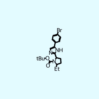 CCC1CCC(c2ncc(-c3ccc(Br)cc3)[nH]2)N1C(=O)OC(C)(C)C